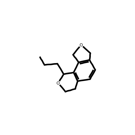 CCCC1OCCc2ccc3c(c21)COC3